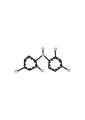 [O-][S+](c1ccc(Cl)cc1Cl)c1ccc(Cl)cc1Cl